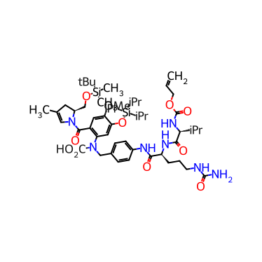 C=CCOC(=O)N[C@H](C(=O)N[C@@H](CCCNC(N)=O)C(=O)Nc1ccc(CN(C(=O)O)c2cc(O[Si](C(C)C)(C(C)C)C(C)C)c(OC)cc2C(=O)N2C=C(C)C[C@H]2CO[Si](C)(C)C(C)(C)C)cc1)C(C)C